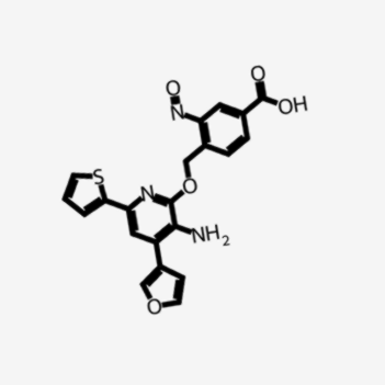 Nc1c(-c2ccoc2)cc(-c2cccs2)nc1OCc1ccc(C(=O)O)cc1N=O